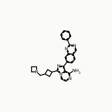 Nc1nccn2c(C3CC(CN4CCC4)C3)nc(-c3ccc4cnc(-c5ccccc5)nc4c3)c12